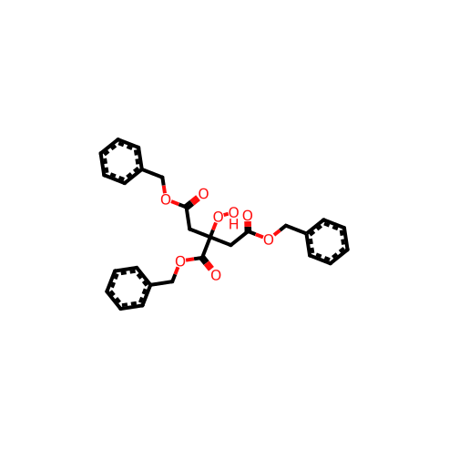 O=C(CC(CC(=O)OCc1ccccc1)(OO)C(=O)OCc1ccccc1)OCc1ccccc1